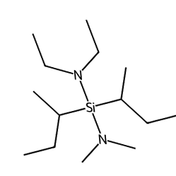 CCC(C)[Si](C(C)CC)(N(C)C)N(CC)CC